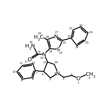 COCCN1CC(c2ccccc2)C(N(C(N)=O)c2sc(-c3ccccc3)nc2C)C1